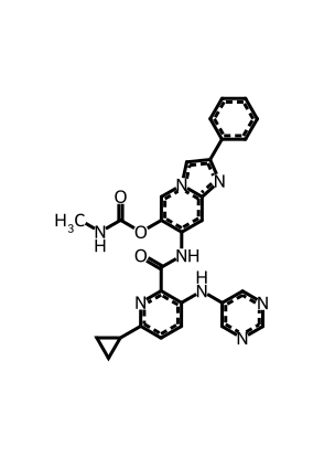 CNC(=O)Oc1cn2cc(-c3ccccc3)nc2cc1NC(=O)c1nc(C2CC2)ccc1Nc1cncnc1